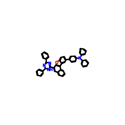 c1ccc(C2=NC(c3ccccc3)NC(c3cc4ccccc4c4c3oc3ccc(-c5ccc(N(c6ccccc6)c6ccccc6)cc5)cc34)=N2)cc1